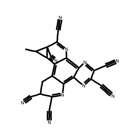 CC1C2c3c4c(c5nc(C#N)c(C#N)nc5c3N=C(C#N)C12C#N)N=C(C#N)C(C#N)C4